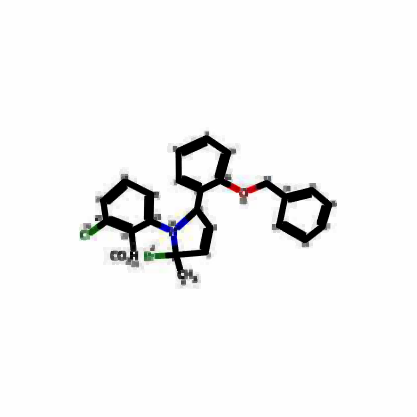 CC1(Br)C=CC(c2ccccc2OCc2ccccc2)N1c1cccc(Cl)c1C(=O)O